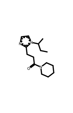 CCC(C)n1ccnc1CCC(=O)N1CCCCC1